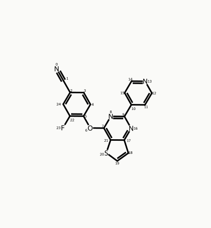 N#Cc1ccc(Oc2nc(-c3ccncc3)nc3ccsc23)c(F)c1